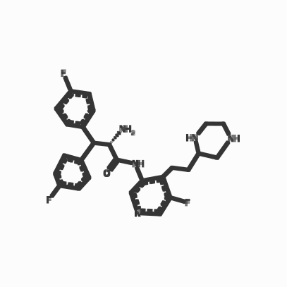 N[C@H](C(=O)Nc1cncc(F)c1CCC1CNCCN1)C(c1ccc(F)cc1)c1ccc(F)cc1